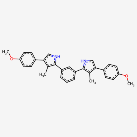 COc1ccc(-c2c[nH]c(-c3cccc(-c4[nH]cc(-c5ccc(OC)cc5)c4C)c3)c2C)cc1